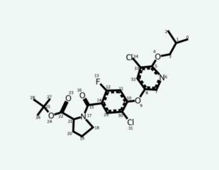 CC(C)COc1ncc(Oc2cc(F)c(C(=O)N3CCCC3C(=O)OC(C)(C)C)cc2Cl)cc1Cl